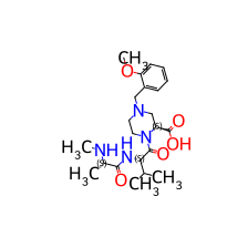 CN[C@@H](C)C(=O)N[C@H](C(=O)N1CCN(Cc2ccccc2OC)C[C@H]1C(=O)O)C(C)C